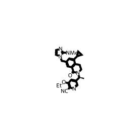 CCOc1cc([C@H](C)N2CCc3c(cc(Cn4ccnc4NC)cc3C3CC3)C2=O)cnc1C#N